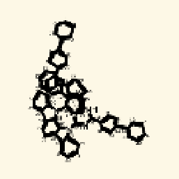 c1ccc(-c2ccc(-c3cccc(-c4ccccc4-n4c5ccccc5c5ccc6c7ccccc7n(C7=NC(c8ccc(-c9ccccc9)cc8)NC(c8cccc(-c9ccccc9)c8)=N7)c6c54)c3)cc2)cc1